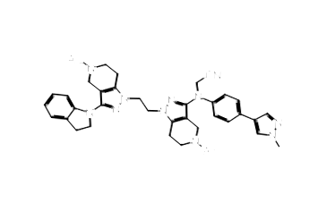 CC(=O)N1CCc2c(c(N(CC#N)c3ccc(-c4cnn(C)c4)cc3)nn2CCn2nc(N3CCc4ccccc43)c3c2CCN(C(C)=O)C3)C1